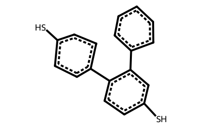 Sc1ccc(-c2ccc(S)cc2-c2ccccc2)cc1